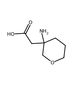 NC1(CC(=O)O)CCCOC1